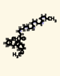 CC/C=C\C/C=C\C/C=C\C/C=C\C/C=C\C/C=C\CCC(=O)n1cc(C[C@H]2CCCN2C)c2cc(OC)ccc21